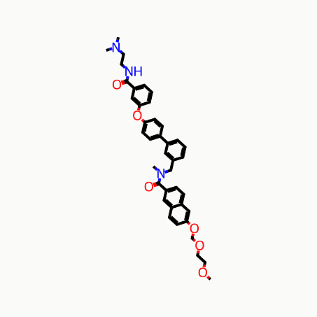 COCCOCOc1ccc2cc(C(=O)N(C)Cc3cccc(-c4ccc(Oc5cccc(C(=O)NCCN(C)C)c5)cc4)c3)ccc2c1